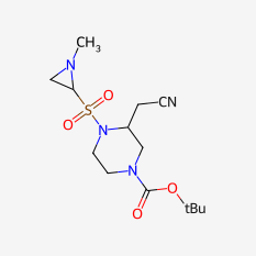 CN1CC1S(=O)(=O)N1CCN(C(=O)OC(C)(C)C)CC1CC#N